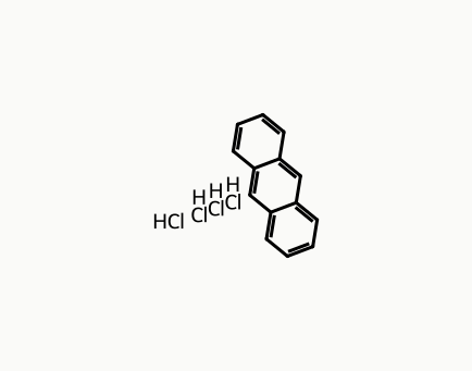 Cl.Cl.Cl.Cl.c1ccc2cc3ccccc3cc2c1